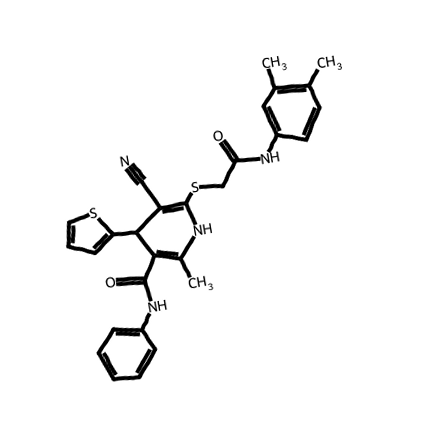 CC1=C(C(=O)Nc2ccccc2)C(c2cccs2)C(C#N)=C(SCC(=O)Nc2ccc(C)c(C)c2)N1